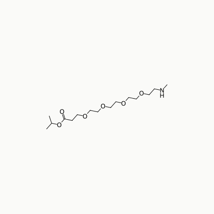 CNCCOCCOCCOCCOCCC(=O)OC(C)C